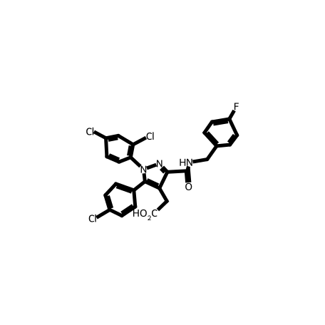 O=C(O)Cc1c(C(=O)NCc2ccc(F)cc2)nn(-c2ccc(Cl)cc2Cl)c1-c1ccc(Cl)cc1